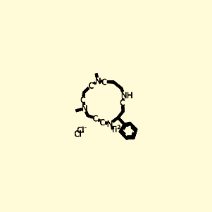 CN1CCCNCCC(c2ccccc2)[N]([Ti+2])CCCN(C)CCC1.[Cl-].[Cl-]